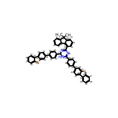 CC1(C)c2ccccc2-c2c(C3=NC(c4ccc(-c5ccc6c(c5)sc5ccccc56)cc4)NC(c4ccc(-c5ccc6c(c5)sc5ccccc56)cc4)=N3)cccc21